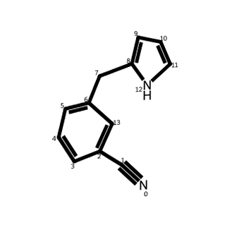 N#Cc1cccc(Cc2ccc[nH]2)c1